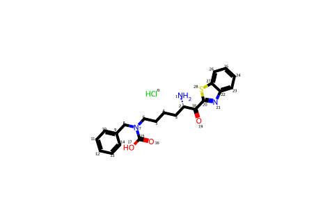 Cl.N[C@@H](CCCCN(Cc1ccccc1)C(=O)O)C(=O)c1nc2ccccc2s1